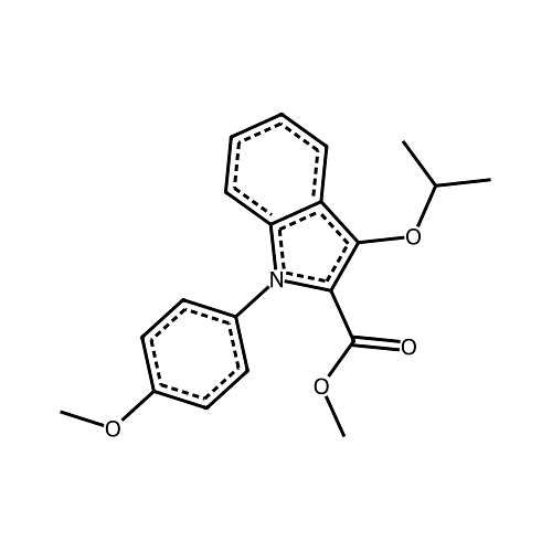 COC(=O)c1c(OC(C)C)c2ccccc2n1-c1ccc(OC)cc1